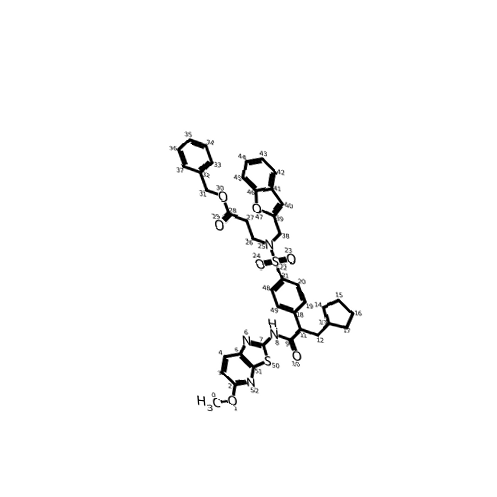 COc1ccc2nc(NC(=O)C(CC3CCCC3)c3ccc(S(=O)(=O)N(CCC(=O)OCc4ccccc4)Cc4cc5ccccc5o4)cc3)sc2n1